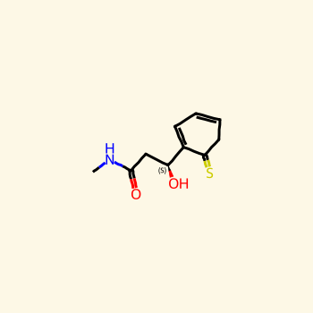 CNC(=O)C[C@H](O)C1=CC=CCC1=S